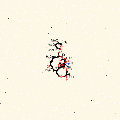 CC[C@H]1OC(=O)C[C@H]2OCC(O)(CO)COCC[C@@H](C[C@@H](C)C(=O)/C=C/C(C)=C/[C@@H]1COC1O[C@H](C)[C@@H](OC)[C@@H](OC)[C@H]1OC)[C@H](OC1O[C@H](C)[C@@H](OC(C)=O)[C@H](N(C)C)[C@H]1OC(C)=O)[C@H]2C